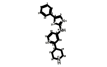 c1ccc(-c2cnc(Nc3ccnc(C4CCNCC4)c3)s2)cc1